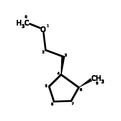 COCC[C@@H]1CCC[C@H]1C